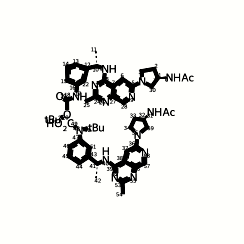 CC(=O)N[C@@H]1CCN(c2cc3c(N[C@@H](C)c4cccc(NC(=O)OC(C)(C)C)c4)nc(C)nc3cn2)C1.CC(=O)N[C@@H]1CCN(c2cc3c(N[C@H](C)c4cccc(N(C(=O)O)C(C)(C)C)c4)nc(C)nc3cn2)C1